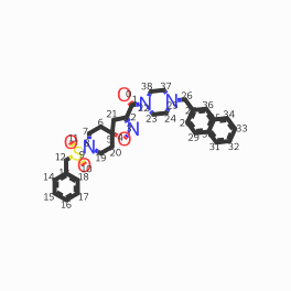 O=C(C1=NOC2(CCN(S(=O)(=O)Cc3ccccc3)CC2)C1)N1CCN(Cc2ccc3ccccc3c2)CC1